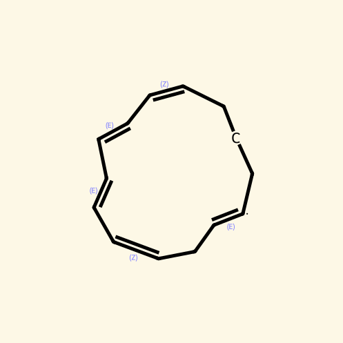 [C]1=C/C\C=C/C=C/C=C/C=C\CCC/1